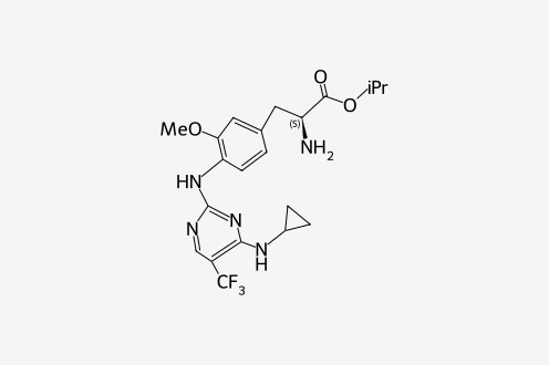 COc1cc(C[C@H](N)C(=O)OC(C)C)ccc1Nc1ncc(C(F)(F)F)c(NC2CC2)n1